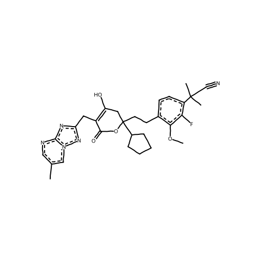 COc1c(CCC2(C3CCCC3)CC(O)=C(Cc3nc4ncc(C)cn4n3)C(=O)O2)ccc(C(C)(C)C#N)c1F